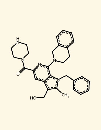 Cc1c(CO)c2cc(C(=O)N3CCNCC3)nc(N3CCc4ccccc4C3)c2n1Cc1ccccc1